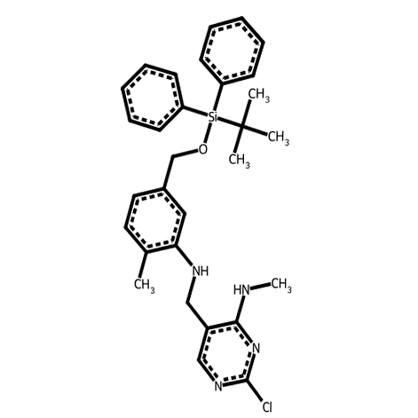 CNc1nc(Cl)ncc1CNc1cc(CO[Si](c2ccccc2)(c2ccccc2)C(C)(C)C)ccc1C